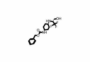 O=C(N[C@H]1CC[C@H](N[C@H](CO)C(F)(F)F)CC1)OCc1ccccc1